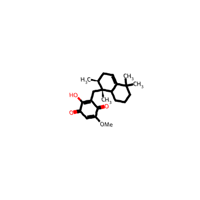 COC1=CC(=O)C(O)=C(C[C@@]2(C)C3CCCC(C)(C)C3=CC[C@@H]2C)C1=O